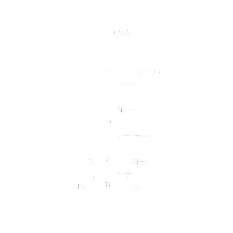 CC(C)c1nc(C(=O)N2CCOC3(CCN(Cc4cc(Cl)cc(CC=O)c4)CC3)C2)cs1